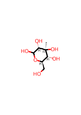 C[C@]1(O)[C@H](O)[C@@H](CO)OC(O)[C@@H]1O